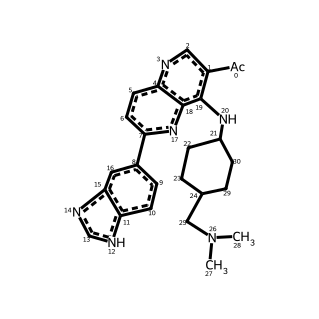 CC(=O)c1cnc2ccc(-c3ccc4[nH]cnc4c3)nc2c1NC1CCC(CN(C)C)CC1